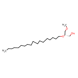 CCCCCCCCCCCCCCCCCCO[C@@H](CO)COC